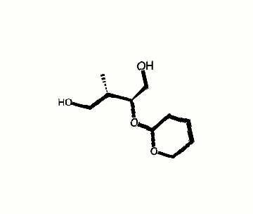 C[C@@H](CO)[C@@H](CO)OC1CCCCO1